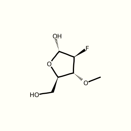 CO[C@H]1[C@H](F)[C@@H](O)O[C@@H]1CO